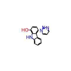 Oc1cccc2c1[nH]c1ccccc12.c1cnnnc1